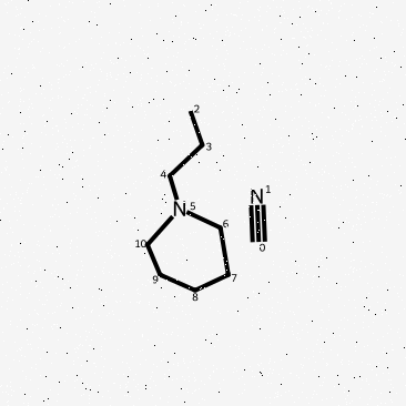 C#N.CCCN1CCCCC1